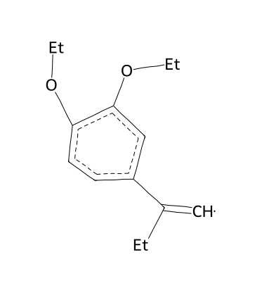 [CH]=C(CC)c1ccc(OCC)c(OCC)c1